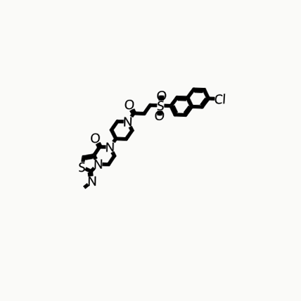 C/N=c1\scc2n1CCN(C1CCN(C(=O)CCS(=O)(=O)c3ccc4cc(Cl)ccc4c3)CC1)C2=O